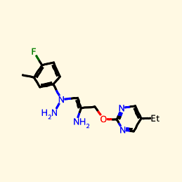 CCc1cnc(OC/C(N)=C/N(N)c2ccc(F)c(C)c2)nc1